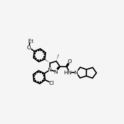 CCOc1ccc([C@@H]2[C@H](C)C(C(=O)NN3CC4CCCC4C3)=NN2c2ccccc2Cl)cc1